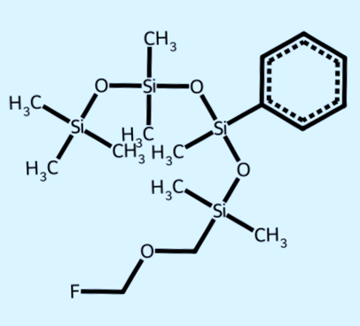 C[Si](C)(C)O[Si](C)(C)O[Si](C)(O[Si](C)(C)COCF)c1ccccc1